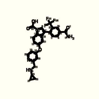 NC(=O)c1ccc(-c2cn(C(=O)O)c3ccc(Oc4ccnc(CNC5CC5)c4)cc23)c(C(F)(F)F)c1